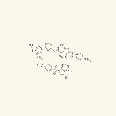 Cc1ccc(S(=O)(=O)n2cc(Br)c3c(Cl)ncnc32)cc1.Cc1ccc(S(=O)(=O)n2cc(Br)c3c(NCc4ccnc(N5C[C@@H](C)N[C@@H](C)C5)n4)ncnc32)cc1